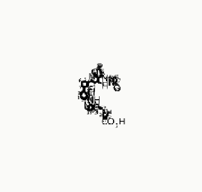 Cc1cc(-c2cccc(-c3cccc(Nc4nccc5sc(CN6CC[C@H](C(=O)O)C6)nc45)c3Cl)c2Cl)nc(OC(F)F)c1CNC[C@@H]1CCC(=O)N1